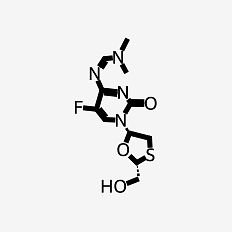 CN(C)/C=N\c1nc(=O)n([C@@H]2CS[C@H](CO)O2)cc1F